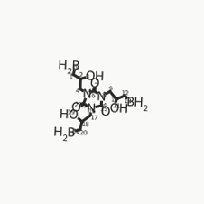 BCC(O)Cn1c(=O)n(CC(O)CB)c(=O)n(CC(O)CB)c1=O